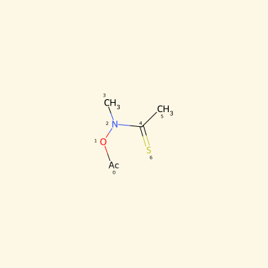 CC(=O)ON(C)C(C)=S